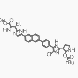 CC[C@@H](C(=N)C(=O)OC(C)(C)C)c1ncc(-c2ccc3cc(-c4ccc(-c5[nH]c([C@@H]6CCNC6OC(=O)C(C)(C)C)nc5Cl)cc4)ccc3c2)[nH]1